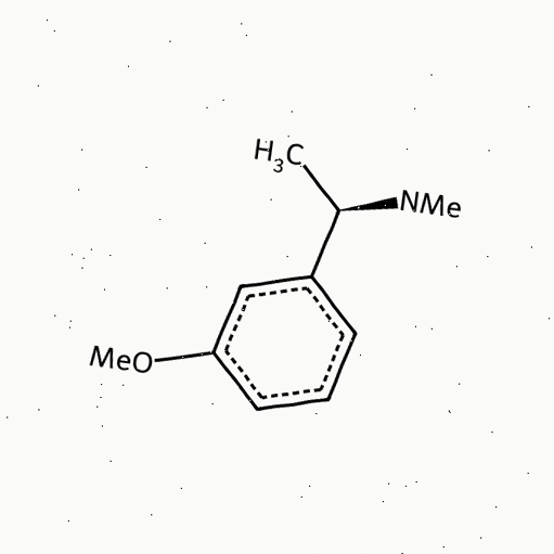 CN[C@H](C)c1cccc(OC)c1